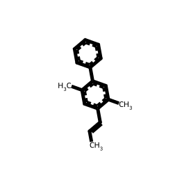 CC=Cc1cc(C)c(-c2ccccc2)cc1C